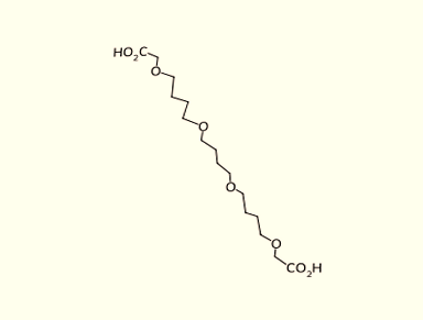 O=C(O)COCCCCOCCCCOCCCCOCC(=O)O